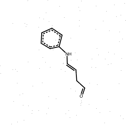 O=CC/C=C/Nc1ccccc1